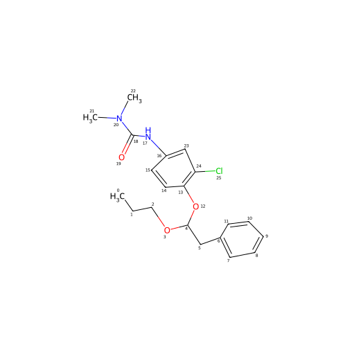 CCCOC(Cc1ccccc1)Oc1ccc(NC(=O)N(C)C)cc1Cl